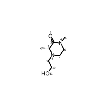 C[C@@H]1C(=O)N(C)CCN1CCO